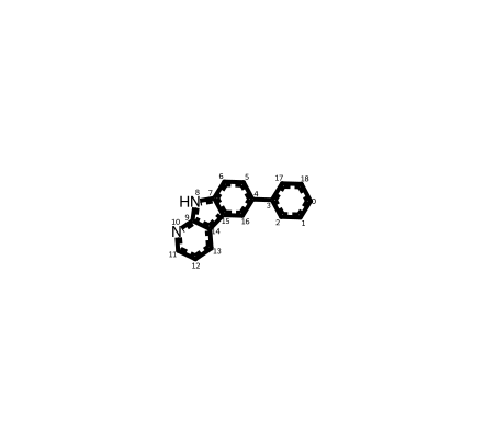 c1ccc(-c2ccc3[nH]c4ncccc4c3c2)cc1